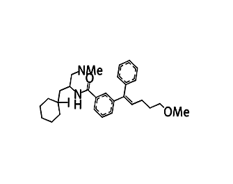 CNCC(CC1(I)CCCCC1)NC(=O)c1cccc(C(=CCCCOC)c2ccccc2)c1